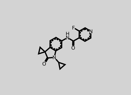 O=C(Nc1ccc2c(c1)N(C1CC1)C(=O)C21CC1)c1ccncc1F